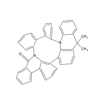 CC1(C)c2ccccc2N2c3ccccc3-c3ccccc3-n3c(=O)c4ccccc4c4cccc(c43)-c3cccc1c32